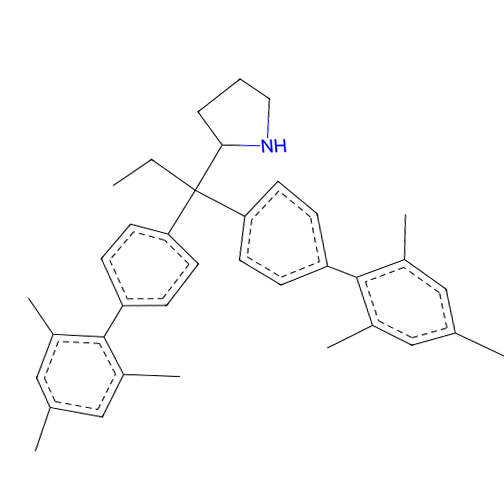 CCC(c1ccc(-c2c(C)cc(C)cc2C)cc1)(c1ccc(-c2c(C)cc(C)cc2C)cc1)C1CCCN1